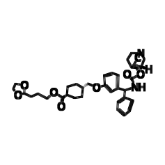 O=C(NC(c1ccccc1)c1cccc(OC[C@H]2CC[C@H](C(=O)OCCCC3OCCO3)CC2)c1)O[C@H]1CN2CCC1CC2